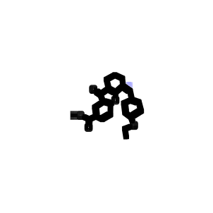 CCOc1ccc(/C=C2/CCCc3c2oc2ccc(C(=O)O)cc2c3=O)cc1